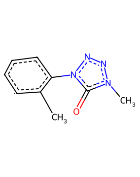 Cc1[c]cccc1-n1nnn(C)c1=O